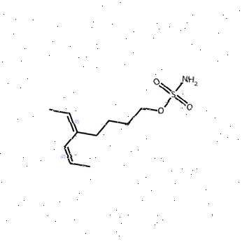 C/C=C\C(=C/C)CCCCOS(N)(=O)=O